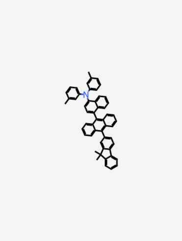 Cc1cccc(N(c2cccc(C)c2)c2ccc(-c3c4ccccc4c(-c4ccc5c(c4)C(C)(C)c4ccccc4-5)c4ccccc34)c3ccccc23)c1